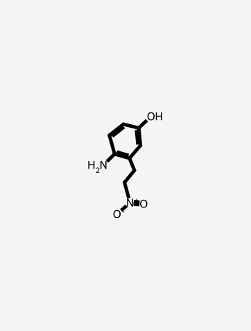 Nc1ccc(O)cc1CC[N+](=O)[O-]